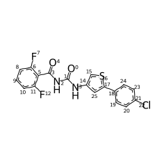 O=C(NC(=O)c1c(F)cccc1F)Nc1csc(-c2ccc(Cl)cc2)c1